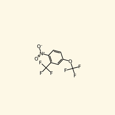 O=[N+]([O-])c1ccc(OC(F)(F)F)cc1C(F)(F)F